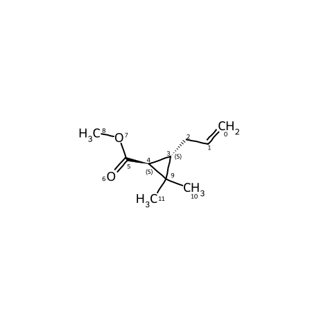 C=CC[C@H]1[C@H](C(=O)OC)C1(C)C